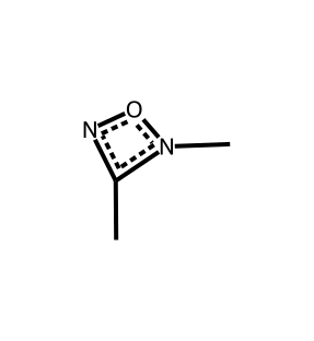 Cc1non1C